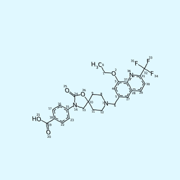 CCOc1cc(CN2CCC3(CC2)CN(c2ccc(C(=O)O)cc2)C(=O)O3)cc2ccc(C(F)(F)F)nc12